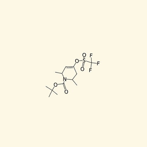 CC1C=C(OS(=O)(=O)C(F)(F)F)CC(C)N1C(=O)OC(C)(C)C